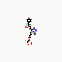 O=C(O)COCCCCN1C(=O)NC[C@@H]1/C=C/C(O)C(F)(F)c1ccccc1